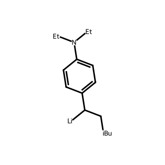 [Li][CH](CC(C)CC)c1ccc(N(CC)CC)cc1